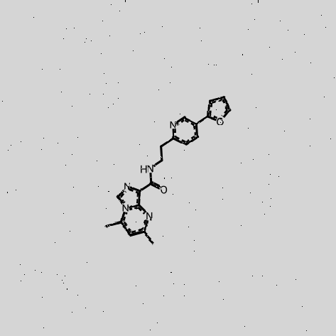 Cc1cc(C)n2cnc(C(=O)NCCc3ccc(-c4ccco4)cn3)c2n1